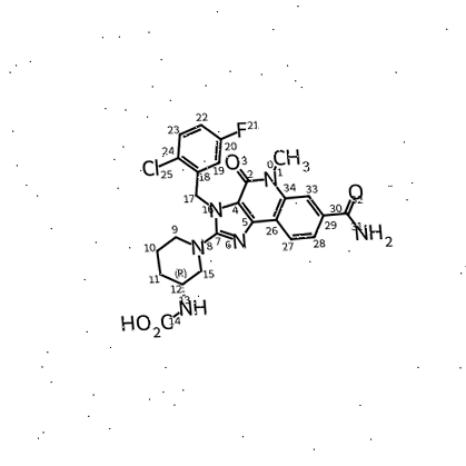 Cn1c(=O)c2c(nc(N3CCC[C@@H](NC(=O)O)C3)n2Cc2cc(F)ccc2Cl)c2ccc(C(N)=O)cc21